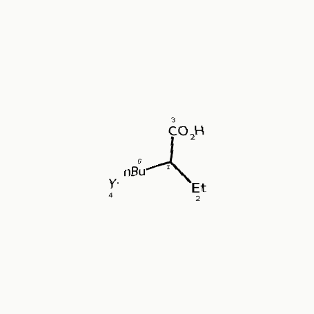 CCCCC(CC)C(=O)O.[Y]